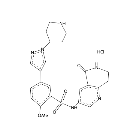 COc1ccc(-c2cnn(C3CCNCC3)c2)cc1S(=O)(=O)Nc1cnc2c(c1)C(=O)NCC2.Cl